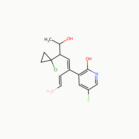 B/C=C/C(=C\C(C(C)O)C1(Cl)CC1)c1cc(F)cnc1O